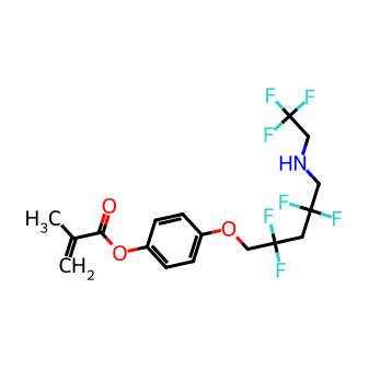 C=C(C)C(=O)Oc1ccc(OCC(F)(F)CC(F)(F)CNCC(F)(F)F)cc1